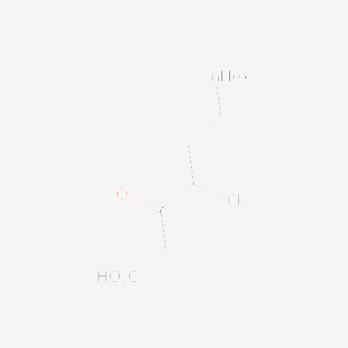 CCCCCCCCC(Cl)C(=O)CC(=O)O